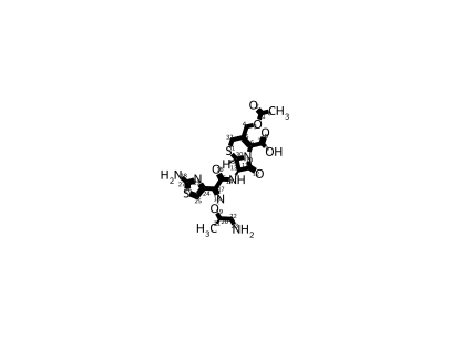 CC(=O)OCC1=C(C(=O)O)N2C(=O)[C@@H](NC(=O)C(=NO[C@H](C)CN)c3csc(N)n3)[C@H]2SC1